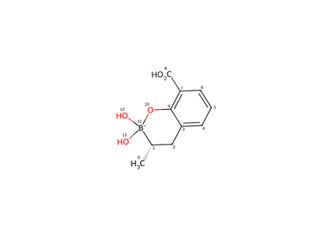 C[C@H]1Cc2cccc(C(=O)O)c2O[B-]1(O)O